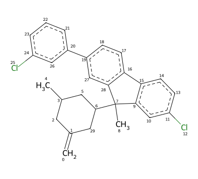 C=C1CC(C)CC(C2(C)c3cc(Cl)ccc3-c3ccc(-c4cccc(Cl)c4)cc32)C1